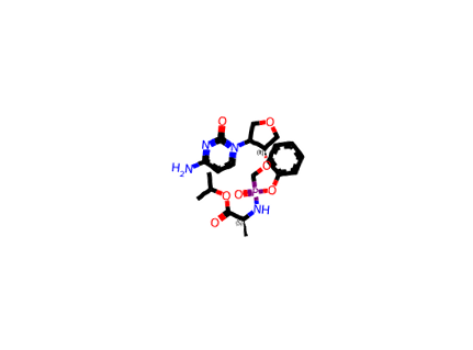 CC(C)OC(=O)[C@H](C)NP(=O)(CO[C@H]1COCC1n1ccc(N)nc1=O)Oc1ccccc1